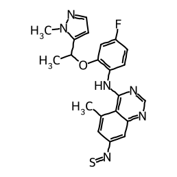 Cc1cc(N=S)cc2ncnc(Nc3ccc(F)cc3OC(C)c3ccnn3C)c12